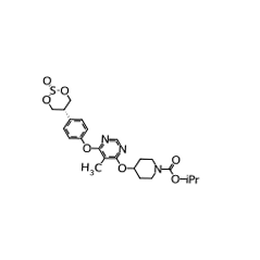 Cc1c(Oc2ccc([C@H]3CO[S@@](=O)OC3)cc2)ncnc1OC1CCN(C(=O)OC(C)C)CC1